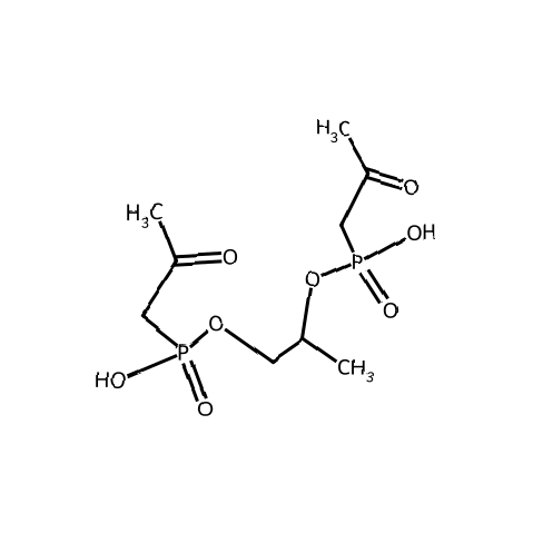 CC(=O)CP(=O)(O)OCC(C)OP(=O)(O)CC(C)=O